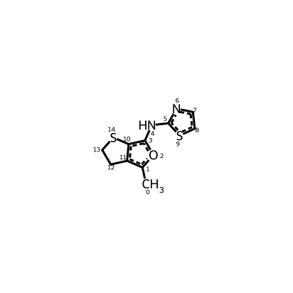 Cc1oc(Nc2nccs2)c2c1CCS2